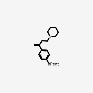 C=C(CCN1CCCCC1)c1ccc(CCCCC)cc1